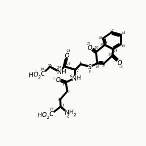 NC(CCC(=O)NC(CSC1=CC(=O)c2ccccc2C1=O)C(=O)NCC(=O)O)C(=O)O